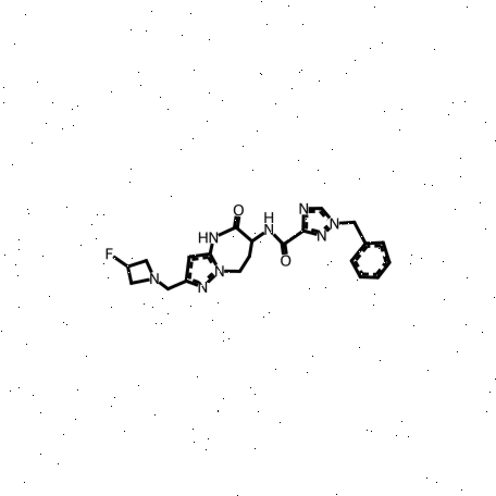 O=C(NC1CCn2nc(CN3CC(F)C3)cc2NC1=O)c1ncn(Cc2ccccc2)n1